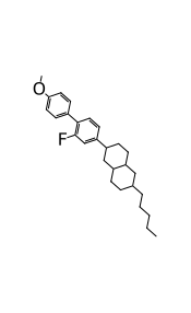 CCCCCC1CCC2CC(c3ccc(-c4ccc(OC)cc4)c(F)c3)CCC2C1